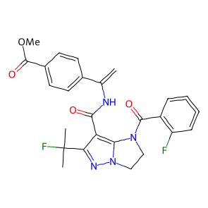 C=C(NC(=O)c1c(C(C)(C)F)nn2c1N(C(=O)C1=C(F)C=C=C=C1)CC2)c1ccc(C(=O)OC)cc1